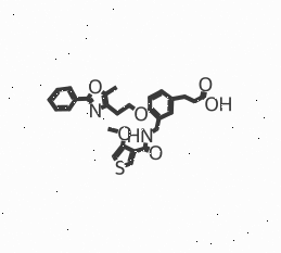 COc1cscc1C(=O)NCc1cc(CCC(=O)O)ccc1OCCc1nc(-c2ccccc2)oc1C